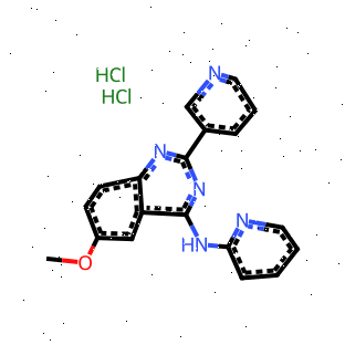 COc1ccc2nc(-c3cccnc3)nc(Nc3ccccn3)c2c1.Cl.Cl